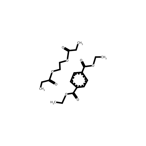 CCC(=O)OCCOC(=O)CC.CCOC(=O)c1ccc(C(=O)OCC)cc1